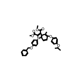 COC(=O)c1c(C(=O)OC)n(-c2ccc(OCc3ccccc3)cc2)c2ccc(Oc3ccc(OC(C)C)cc3)c(C)c12